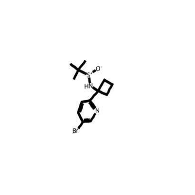 CC(C)(C)[S+]([O-])NC1(c2ccc(Br)cn2)CCC1